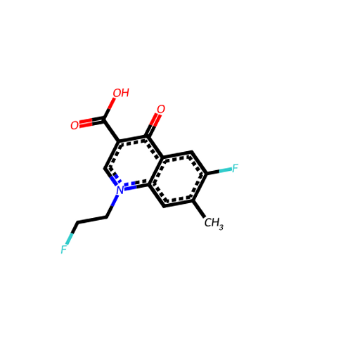 Cc1cc2c(cc1F)c(=O)c(C(=O)O)cn2CCF